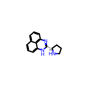 c1cc2c3c(cccc3c1)NC([C@@H]1CCCN1)=N2